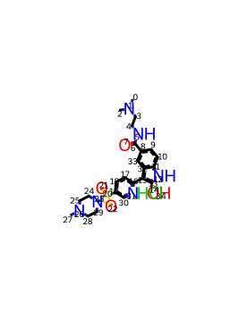 CN(C)CCNC(=O)c1ccc2[nH]c(O)c(-c3ccc(S(=O)(=O)N4CCN(C)CC4)cn3)c2c1.Cl